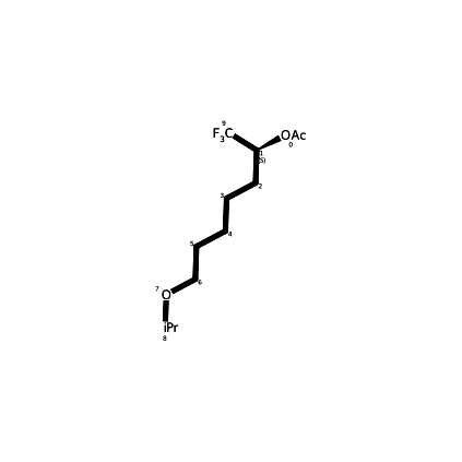 CC(=O)O[C@@H](CCCCCOC(C)C)C(F)(F)F